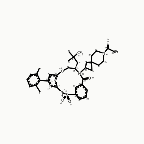 Cc1cccc(C)c1-c1cc2nc(n1)NS(=O)(=O)c1cccc(c1)C(=O)N(C1CC3(CCN(C(=O)C(C)C)CC3)C1)[C@H](CC(C)(C)C(F)(F)F)CO2